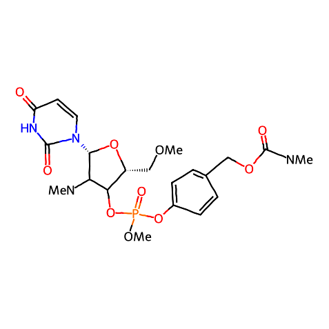 CNC(=O)OCc1ccc(OP(=O)(OC)OC2C(NC)[C@H](n3ccc(=O)[nH]c3=O)O[C@@H]2COC)cc1